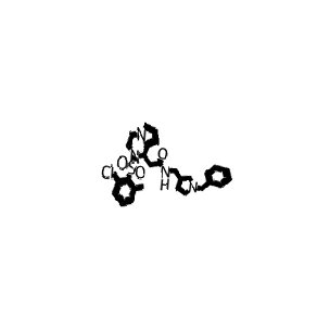 Cc1cccc(Cl)c1S(=O)(=O)N1CCn2cccc2C1CC(=O)NCC1CCN(Cc2ccccc2)C1